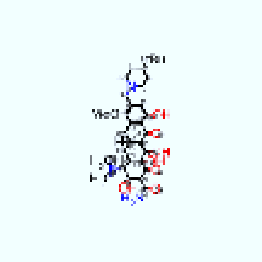 COc1c(CN2CCC(C(C)(C)C)CC2)cc(O)c2c1C[C@H]1C[C@H]3[C@H](N(C)C)C(O)=C(C(N)=O)C(=O)[C@@]3(O)C(O)=C1C2=O